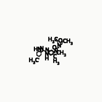 CC[C@@H]1CCc2[nH]nc(-c3nc4cc(N(C)C(=O)CN5C[C@@H](C)O[C@H](C)C5)c(C)cc4[nH]3)c2C1